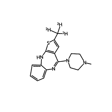 [2H]C([2H])([2H])c1cc2c(s1)Nc1ccccc1N=C2N1CCN(C)CC1